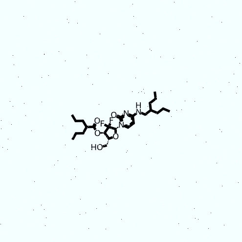 CCCC(CCC)CNc1ccn([C@@H]2O[C@H](CO)[C@@H](OC(=O)C(CCC)CCC)C2(F)F)c(=O)n1